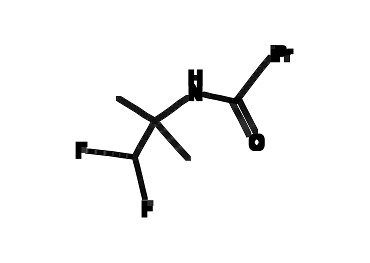 CC(C)C(=O)NC(C)(C)C(F)F